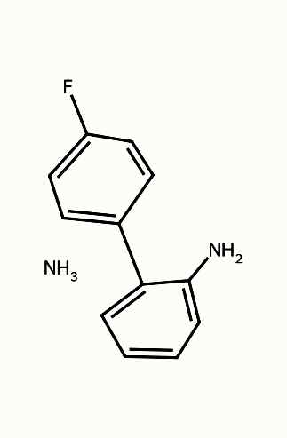 N.Nc1ccccc1-c1ccc(F)cc1